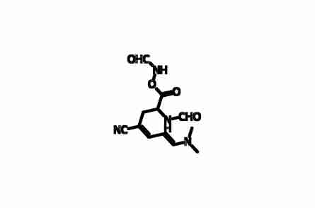 CN(C)C=CC=C(C#N)CC(NC=O)C(=O)ONC=O